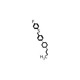 CCCC[C@H]1CC[C@H](c2ccc(CSc3ccc(F)cc3)cc2)CC1